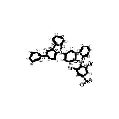 O=[N+]([O-])c1cc(Br)c(-n2c3ccccc3c3cc(-n4c5ccccc5c5cc(-c6ccccc6)ccc54)ccc32)c(Br)c1